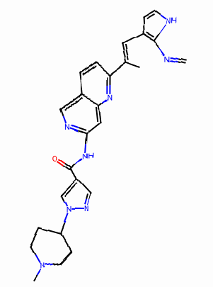 C=Nc1[nH]ccc1/C=C(\C)c1ccc2cnc(NC(=O)c3cnn(C4CCN(C)CC4)c3)cc2n1